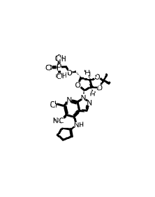 CC1(C)O[C@@H]2[C@H](O1)[C@@H](COCP(=O)(O)O)O[C@H]2n1ncc2c(NC3CCCC3)c(C#N)c(Cl)nc21